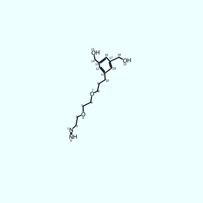 N=NCCOCCOCCCc1cc(CO)cc(CO)c1